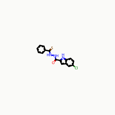 O=C(NNC(=S)c1ccccc1)c1cc2cc(Cl)ccc2[nH]1